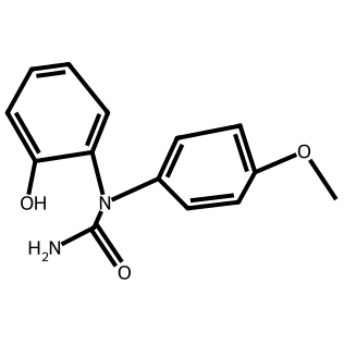 COc1ccc(N(C(N)=O)c2ccccc2O)cc1